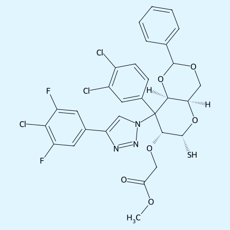 COC(=O)CO[C@H]1[C@@H](S)O[C@@H]2COC(c3ccccc3)O[C@@H]2C1(c1ccc(Cl)c(Cl)c1)n1cc(-c2cc(F)c(Cl)c(F)c2)nn1